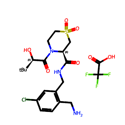 CC(C)(C)[C@@H](O)C(=O)N1CCS(=O)(=O)C[C@H]1C(=O)NCc1cc(Cl)ccc1CN.O=C(O)C(F)(F)F